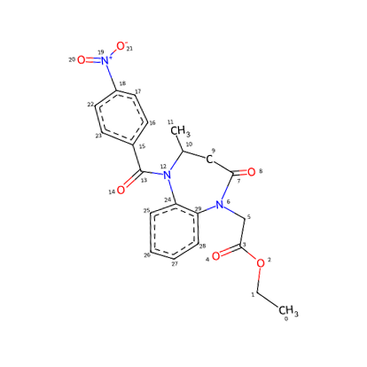 CCOC(=O)CN1C(=O)CC(C)N(C(=O)c2ccc([N+](=O)[O-])cc2)c2ccccc21